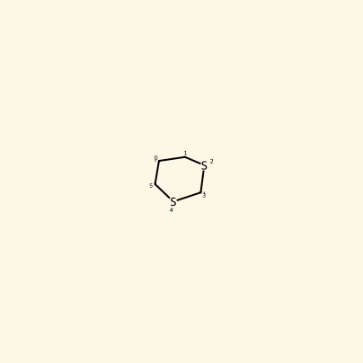 [CH]1CS[CH]SC1